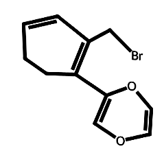 BrCC1=C(C2=COC=CO2)CCC=C1